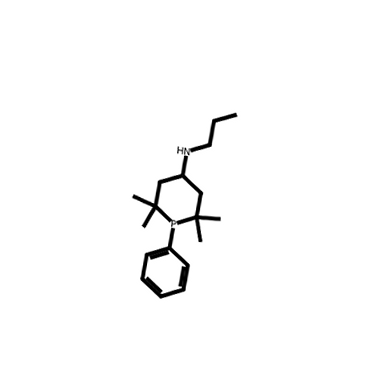 CCCNC1CC(C)(C)P(c2ccccc2)C(C)(C)C1